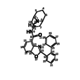 CN1C2CCCC1CC(NC(=O)c1cccc3oc(-c4ccccc4-c4ccccc4)nc13)C2